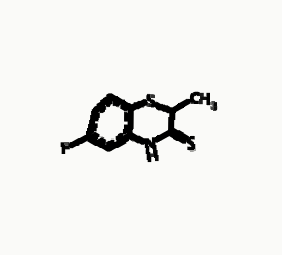 CC1Sc2ccc(F)cc2NC1=S